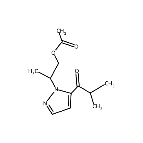 CC(=O)OCC(C)n1nccc1C(=O)C(C)C